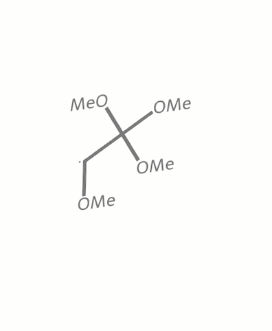 CO[CH]C(OC)(OC)OC